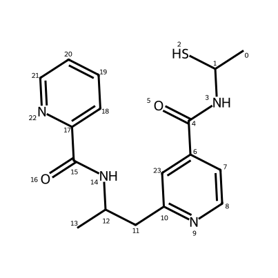 CC(S)NC(=O)c1ccnc(CC(C)NC(=O)c2ccccn2)c1